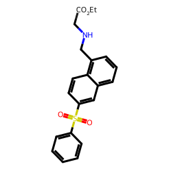 CCOC(=O)CNCc1cccc2cc(S(=O)(=O)c3ccccc3)ccc12